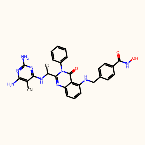 CCC(Nc1nc(N)nc(N)c1C#N)c1nc2cccc(NCc3ccc(C(=O)NO)cc3)c2c(=O)n1-c1ccccc1